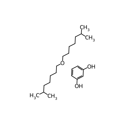 CC(C)CCCCCOCCCCCC(C)C.Oc1cccc(O)c1